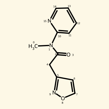 CN(C(=O)Cc1ccon1)c1ccccn1